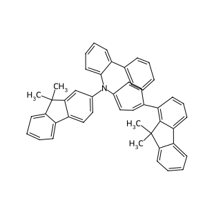 CC1(C)c2ccccc2-c2ccc(N(c3ccc(-c4cccc5c4C(C)(C)c4ccccc4-5)cc3)c3ccccc3-c3ccccc3)cc21